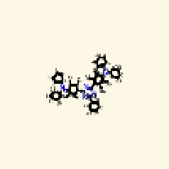 Cc1c(C)c(N(c2ccccc2)c2ccccc2)c(C)c(C)c1-c1nc(-c2ccccc2)nc(-c2c(C)c(C)c(N(c3ccccc3)c3ccccc3)c(C)c2C)n1